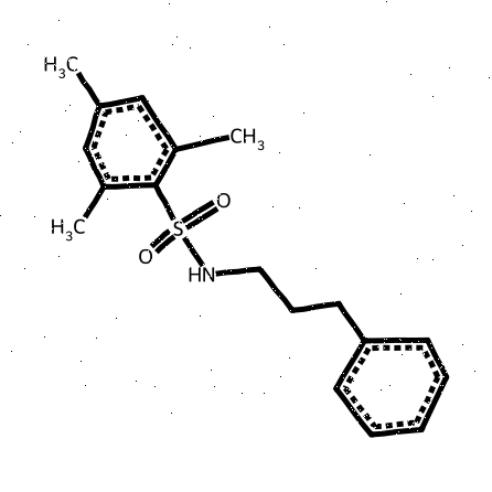 Cc1cc(C)c(S(=O)(=O)NCCCc2ccccc2)c(C)c1